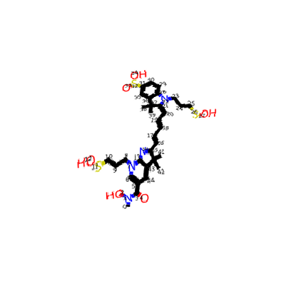 CN(O)C(=O)C1=CN(CCCSO)C2N=C(/C=C/C=C/C=C3/N(CCCSO)c4ccc(S(=O)O)cc4C3(C)C)C(C)(C)C2=C1